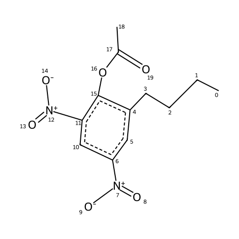 CCCCc1cc([N+](=O)[O-])cc([N+](=O)[O-])c1OC(C)=O